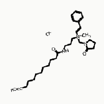 CCCCCCCCCCCCCCCCCCCC(=O)NCCC[N+](C)(C=Cc1ccccc1)CN1CCCC1=O.[Cl-]